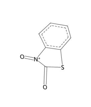 O=C1Sc2ccccc2[N+]1=O